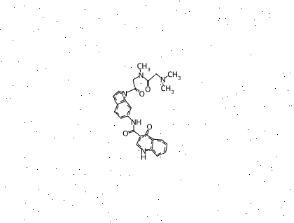 CN(C)CC(=O)N(C)CC(=O)n1ccc2ccc(NC(=O)c3c[nH]c4ccccc4c3=O)cc21